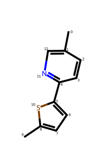 Cc1ccc(-c2ccc(C)s2)nc1